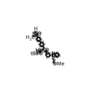 COCCCn1c([C@@H]2CCCN(C(=O)C[C@@H](Cc3ccc(-c4ccc(-n5c(C)n[nH]c5=O)cc4)cc3)NC(=O)OC(C)(C)C)C2)nc2ccccc21